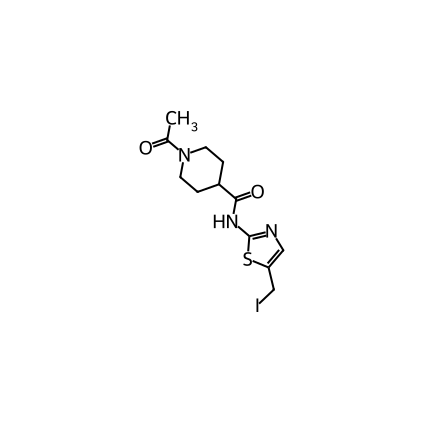 CC(=O)N1CCC(C(=O)Nc2ncc(CI)s2)CC1